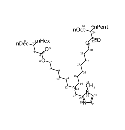 CCCCCCCCCCC(CCCCCC)CC(=O)OCCCCCCN(CCCCCCCOC(=O)C(CCCCC)CCCCCCCC)Cc1nccn1C